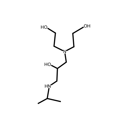 CC(C)NCC(O)CN(CCO)CCO